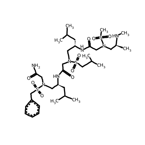 CN[C@@H](C)CN(CC(=O)N[C@@H](CC(C)C)CN(CC(=O)N[C@@H](CC(C)C)CN(CC(N)=O)S(=O)(=O)Cc1ccccc1)S(=O)(=O)CC(C)C)S(C)(=O)=O